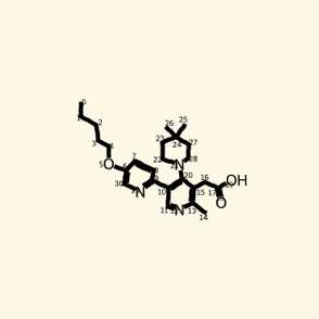 CCCCCOc1ccc(-c2cnc(C)c(CC(=O)O)c2N2CCC(C)(C)CC2)nc1